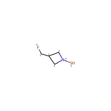 FCC1CN(S)C1